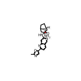 Cc1ncc(-c2ccc3cnc(NC(=O)N4C5CC[C@H]4C[C@@H](N)C5)cc3n2)o1